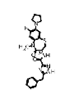 CN1C(=O)[C@@H](NC(=O)c2n[nH]c(Cc3ccccc3)n2)CSc2cc(N3CCCC3)c(F)cc21